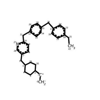 [CH2-][CH+]C1CCC(Cc2ccc(Cc3ccc(Cc4ccc(CC)cc4)cc3)nc2)CC1